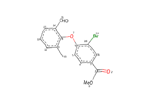 COC(=O)c1ccc(Oc2c(C)cccc2C=O)c(Br)c1